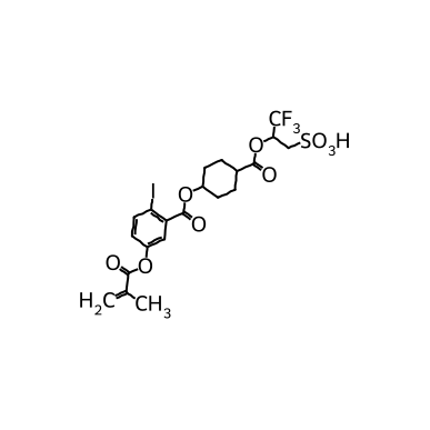 C=C(C)C(=O)Oc1ccc(I)c(C(=O)OC2CCC(C(=O)OC(CS(=O)(=O)O)C(F)(F)F)CC2)c1